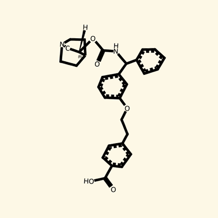 O=C(NC(c1ccccc1)c1cccc(OCCc2ccc(C(=O)O)cc2)c1)O[C@H]1CN2CCC1CC2